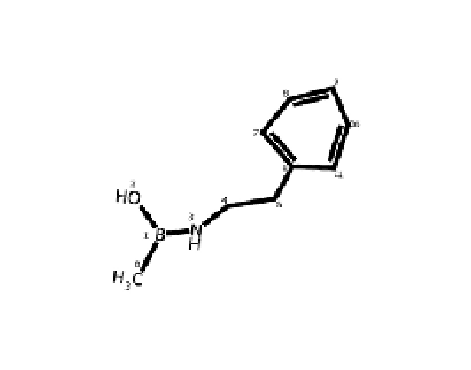 CB(O)NCCc1ccccc1